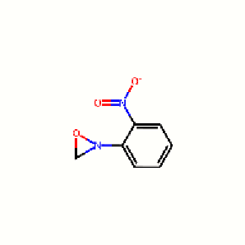 O=[N+]([O-])c1ccccc1N1CO1